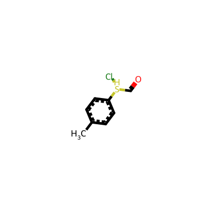 Cc1ccc([SH](Cl)C=O)cc1